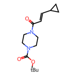 CC(C)(C)OC(=O)N1CCN(C(=O)C=CC2CC2)CC1